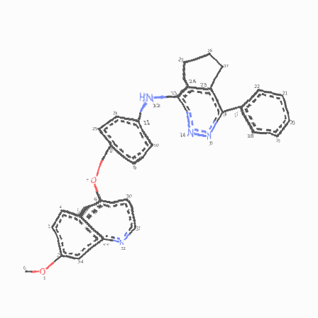 COc1ccc2c(Oc3ccc(Nc4nnc(-c5ccccc5)c5c4CCC5)cc3)ccnc2c1